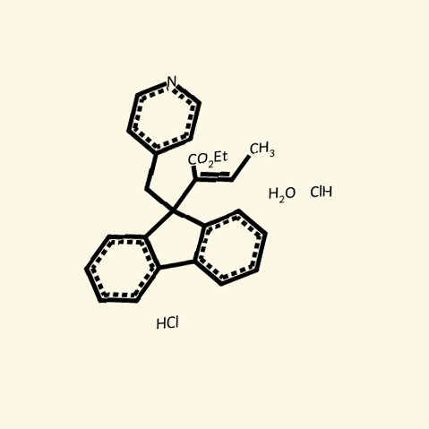 CC=C(C(=O)OCC)C1(Cc2ccncc2)c2ccccc2-c2ccccc21.Cl.Cl.O